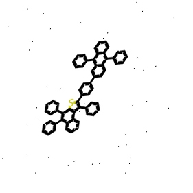 c1ccc(-c2c3ccccc3c(-c3ccccc3)c3cc(-c4ccc(-c5sc6c(-c7ccccc7)c(-c7ccccc7)c7ccccc7c6c5-c5ccccc5)cc4)ccc23)cc1